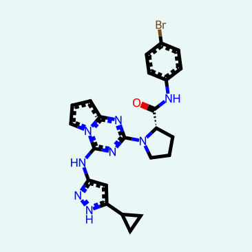 O=C(Nc1ccc(Br)cc1)[C@@H]1CCCN1c1nc(Nc2cc(C3CC3)[nH]n2)n2cccc2n1